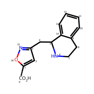 O=C(O)c1cc(CC2NCCc3ccccc32)no1